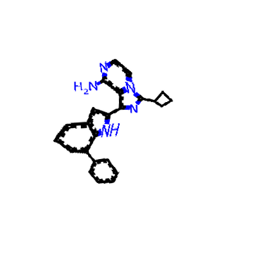 Nc1nccn2c(C3CCC3)nc(-c3cc4cccc(-c5ccccc5)c4[nH]3)c12